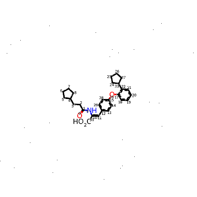 O=C(CCC1CCCC1)NC(=Cc1ccc(Oc2ccccc2C2CCCC2)cc1)C(=O)O